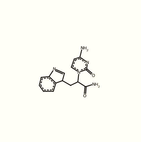 NC(=O)C(CC1C=Nc2ccccc21)n1ccc(N)nc1=O